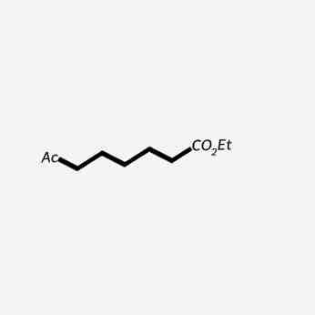 CCOC(=O)CCCCCC(C)=O